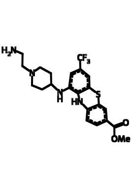 COC(=O)c1ccc2c(c1)Sc1cc(C(F)(F)F)cc(NC3CCN(CCN)CC3)c1N2